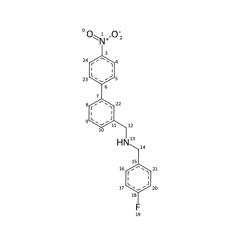 O=[N+]([O-])c1ccc(-c2cccc(CNCc3ccc(F)cc3)c2)cc1